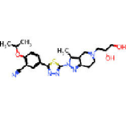 Cc1c2c(nn1-c1nnc(-c3ccc(OC(C)C)c(C#N)c3)s1)CCN(C[C@@H](O)CO)C2